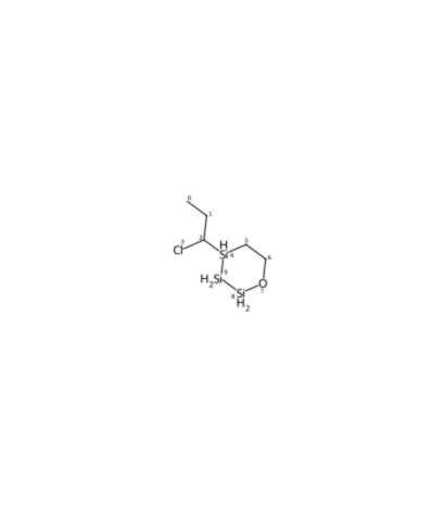 CCC(Cl)[SiH]1CCO[SiH2][SiH2]1